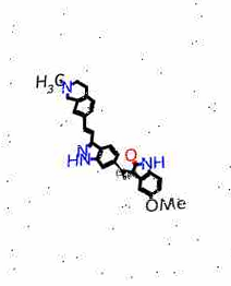 COc1ccc2c(c1)[C@]1(C[C@H]1c1ccc3c(C=Cc4ccc5c(c4)CN(C)CC5)n[nH]c3c1)C(=O)N2